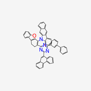 c1ccc(-c2cccc(-c3nc(C4=C(n5c6ccccc6c6cc7ccccc7cc65)c5oc6ccccc6c5CC4)nc(-c4cc5ccccc5c5ccccc45)n3)c2)cc1